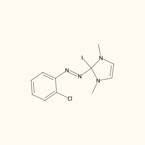 CN1C=CN(C)C1(I)N=Nc1ccccc1Cl